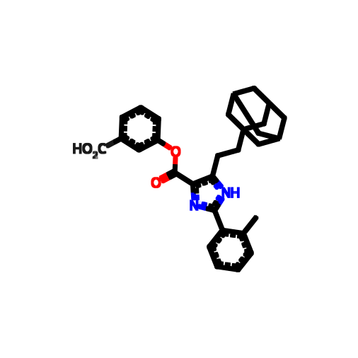 Cc1ccccc1-c1nc(C(=O)Oc2cccc(C(=O)O)c2)c(CCC23CC4CC(CC(C4)C2)C3)[nH]1